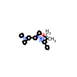 Cc1c(C)c2cc(-c3ccccc3)cc3nc(-n4c5ccccc5c5cc(-c6ccc7c(c6)c6ccccc6n7-c6ccccc6)ccc54)n(c1=O)c32